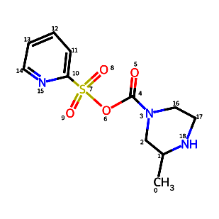 CC1CN(C(=O)OS(=O)(=O)c2ccccn2)CCN1